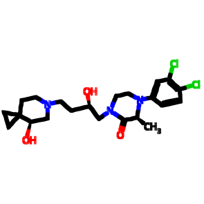 C[C@H]1C(=O)N(C[C@H](O)CCN2CCC3(CC3)[C@H](O)C2)CCN1c1ccc(Cl)c(Cl)c1